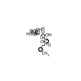 Cc1cccc(CCn2c(=O)ccn([C@@H]3O[C@H](COP(=O)(O)OP(=O)(O)O)[C@H](O)C3O)c2=O)c1